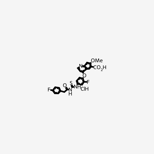 COc1cc2nccc(Oc3ccc(NC(=S)NC(=O)Cc4ccc(F)cc4)cc3F)c2cc1C(=O)O.Cl